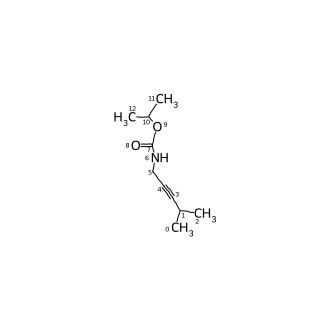 CC(C)C#CCNC(=O)OC(C)C